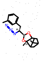 Cc1cccc(C[C@H](N=[N+]=[N-])B2OC3CC4CC(C4(C)C)[C@]3(C)O2)c1